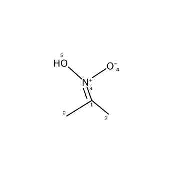 CC(C)=[N+]([O-])O